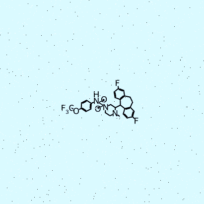 CN1CCN(S(=O)(=O)Nc2ccc(OC(F)(F)F)cc2)CC1C1c2ccc(F)cc2CCc2cc(F)ccc21